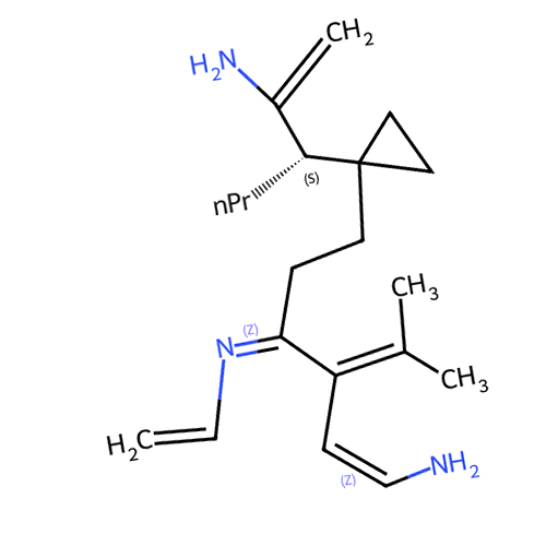 C=C/N=C(/CCC1([C@H](CCC)C(=C)N)CC1)C(/C=C\N)=C(C)C